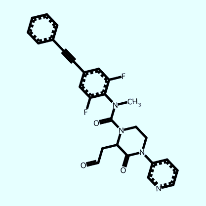 CN(C(=O)N1CCN(c2cccnc2)C(=O)C1CC=O)c1c(F)cc(C#Cc2ccccc2)cc1F